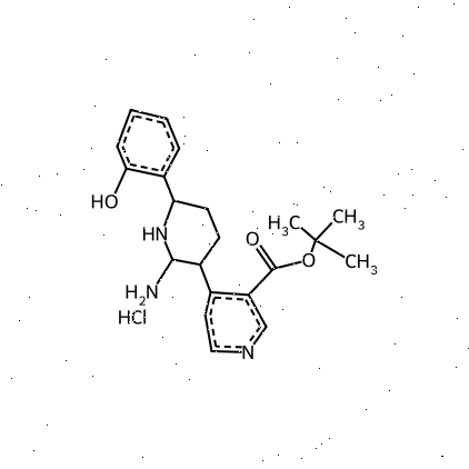 CC(C)(C)OC(=O)c1cnccc1C1CCC(c2ccccc2O)NC1N.Cl